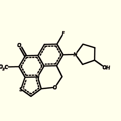 O=C(O)c1c(=O)c2cc(F)c(N3CCC(O)C3)c3c2n2c(csc12)OC3